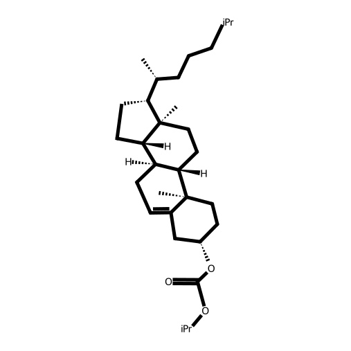 CC(C)CCC[C@@H](C)[C@H]1CC[C@H]2[C@@H]3CC=C4C[C@@H](OC(=O)OC(C)C)CC[C@]4(C)[C@H]3CC[C@]12C